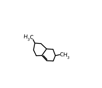 CC1CC=C2CCC(C)CC2C1